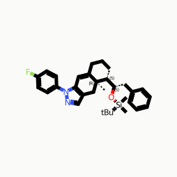 CC(C)(C)[Si](C)(C)O[C@@H](Cc1ccccc1)[C@H]1CCCC2=Cc3c(cnn3-c3ccc(F)cc3)C[C@@]21C